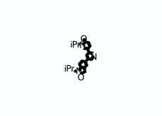 CC(C)CN1C(=O)Cc2cc(-c3cncc(-c4ccc(=O)n(C(C)C)c4)c3)ccc21